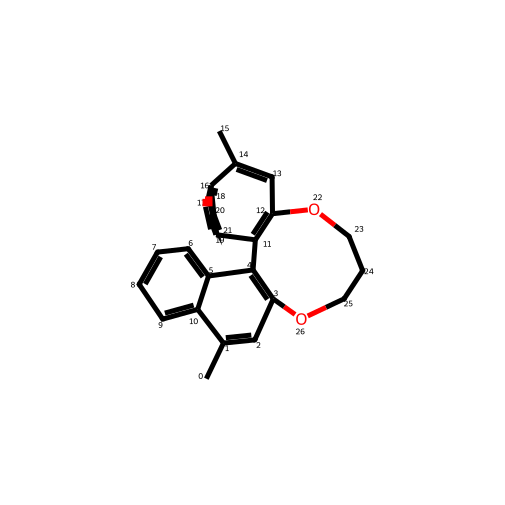 Cc1cc2c(c3ccccc13)-c1c(cc(C)c3ccccc13)OCCCO2